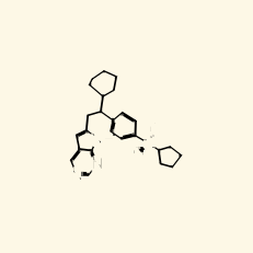 O=S(=O)(c1ccc(C(Cc2cc3cncnc3[nH]2)C2CCCCC2)cc1)C1CCCC1